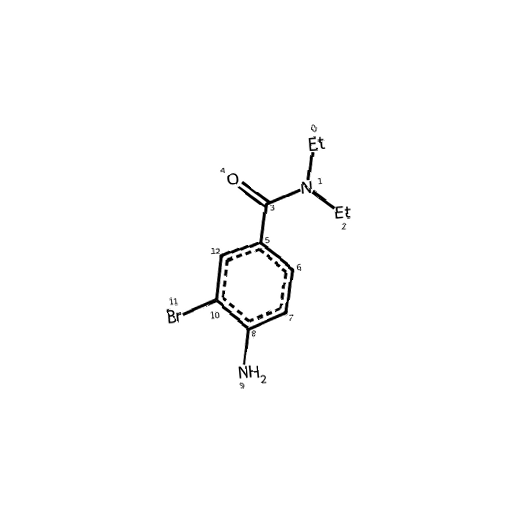 CCN(CC)C(=O)c1ccc(N)c(Br)c1